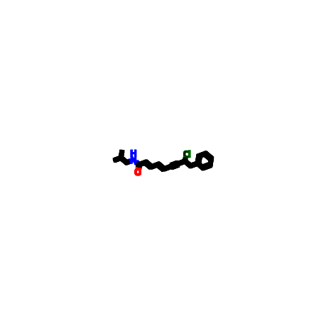 CC(C)CNC(=O)/C=C/C=CC#CC(Cl)Cc1ccccc1